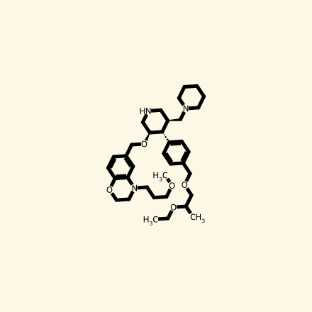 CCOC(C)COCc1ccc([C@H]2[C@H](CN3CCCCC3)CNC[C@@H]2OCc2ccc3c(c2)N(CCCOC)CCO3)cc1